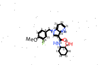 COc1ccc(Cn2cc(C(=O)NC3CCCC[C@@H]3O)c3ncccc32)cc1F